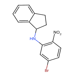 O=[N+]([O-])c1ccc(Br)cc1NC1CCc2ccccc21